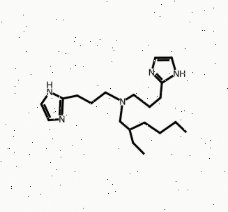 CCCCC(CC)CN(CCCc1ncc[nH]1)CCCc1ncc[nH]1